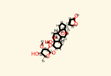 CO[C@H]1[C@H](O[C@H]2CC[C@]3(C=O)[C@H]4CC[C@]5(C)[C@@H](C6=CC(=O)OC6)CC[C@]5(O)[C@@H]4CC[C@]3(O)C2)O[C@H](C)[C@H](O)[C@@H]1OC